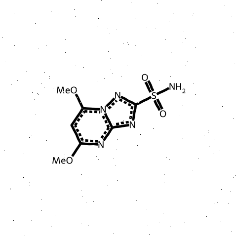 COc1cc(OC)n2nc(S(N)(=O)=O)nc2n1